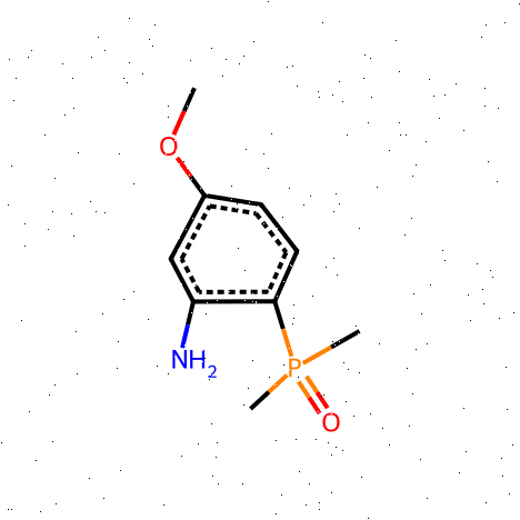 COc1ccc(P(C)(C)=O)c(N)c1